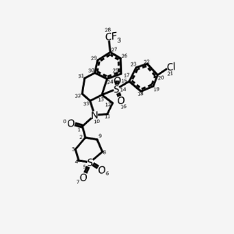 O=C(C1CCS(=O)(=O)CC1)N1CCC2(S(=O)(=O)c3ccc(Cl)cc3)c3ccc(C(F)(F)F)cc3CCC12